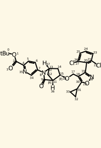 CC(C)(C)OC(=O)c1ccc(N2C(=O)[C@@H]3C[C@H]2C[C@H]3OCc2c(-c3c(Cl)cccc3Cl)noc2C2CC2)cn1